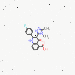 Cc1nnc(C2C(=O)c3c(cccc3C(=O)O)NC2c2ccc(F)cc2)n1C